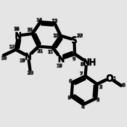 COc1ccccc1Nc1nc2c(ccc3nc(C)n(C)c32)s1